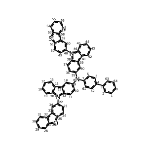 c1ccc(-c2ccc(N(c3ccc4c(c3)c3ccccc3n4-c3ccc4oc5ccccc5c4c3)c3ccc4c(c3)c3ccccc3n4-c3ccc4sc5cccnc5c4c3)cc2)cc1